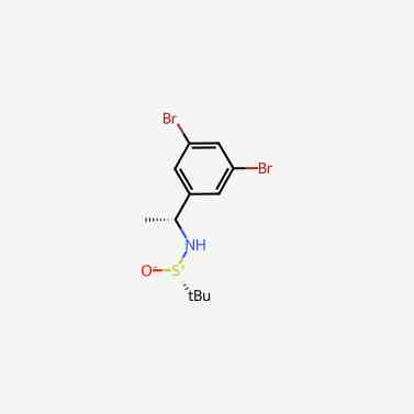 C[C@@H](N[S@@+]([O-])C(C)(C)C)c1cc(Br)cc(Br)c1